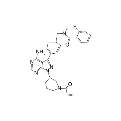 C=CC(=O)N1CCCC(n2nc(-c3ccc(CN(C)C(=O)c4ccccc4F)cc3)c3c(N)ncnc32)C1